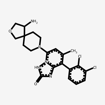 Cc1cc(N2CCC3(CC2)COCC3N)n2[nH]c(=O)nc2c1-c1cccc(Cl)c1Cl